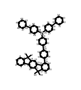 CC1(C)c2ccccc2-c2cc3c(cc21)-c1c(-c2ccc(-c4ccc(N(c5ccc(-c6ccccc6)cc5)c5ccc(-c6ccccc6)cc5)cc4)cc2)cccc1C3(C)C